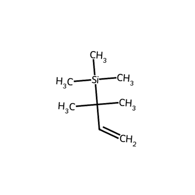 C=CC(C)(C)[Si](C)(C)C